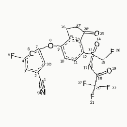 N#Cc1cc(F)cc(Oc2ccc(S(=O)(CF)=NC(=O)C(F)(F)F)c3c2CCC3=O)c1